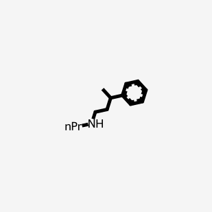 CCCNCCC(C)c1ccccc1